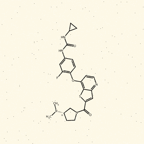 CN(C)[C@H]1CCN(C(=O)c2cc3nccc(Oc4ccc(NC(=O)NC5CC5)cc4F)c3s2)C1